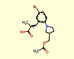 CC(=O)OCC1CCN(c2ccc(Br)cc2/C=C(\C)C(=O)O)C1